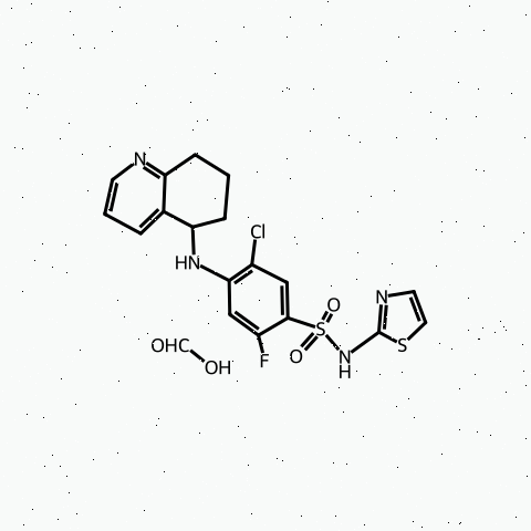 O=CO.O=S(=O)(Nc1nccs1)c1cc(Cl)c(NC2CCCc3ncccc32)cc1F